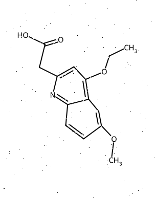 CCOc1cc(CC(=O)O)nc2ccc(OC)cc12